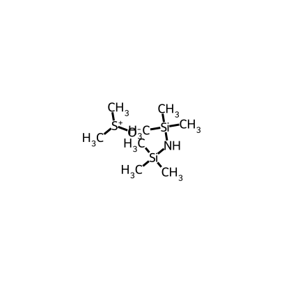 C[S+](C)[O-].C[Si](C)(C)N[Si](C)(C)C